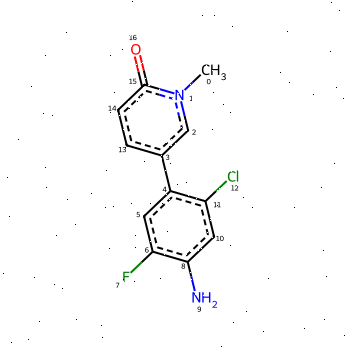 Cn1cc(-c2cc(F)c(N)cc2Cl)ccc1=O